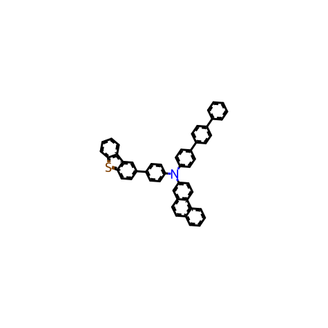 c1ccc(-c2ccc(-c3ccc(N(c4ccc(-c5ccc6sc7ccccc7c6c5)cc4)c4ccc5c(ccc6ccccc65)c4)cc3)cc2)cc1